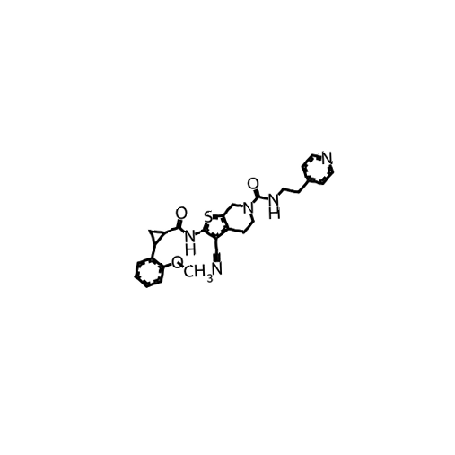 COc1ccccc1C1CC1C(=O)Nc1sc2c(c1C#N)CCN(C(=O)NCCc1ccncc1)C2